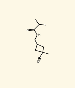 CC(C)C(=O)NCC1CC(C)(C#N)C1